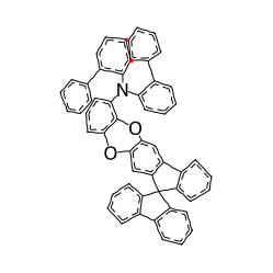 c1ccc(-c2ccccc2N(c2ccccc2-c2ccccc2)c2cccc3c2Oc2cc4c(cc2O3)C2(c3ccccc3-c3ccccc32)c2ccccc2-4)cc1